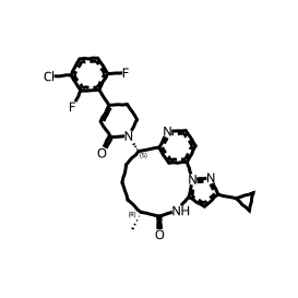 C[C@@H]1CCC[C@H](N2CCC(c3c(F)ccc(Cl)c3F)=CC2=O)c2cc(ccn2)-n2nc(C3CC3)cc2NC1=O